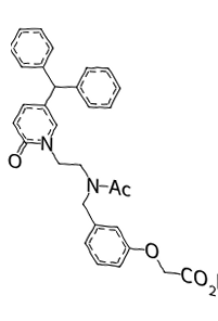 CC(=O)N(CCn1cc(C(c2ccccc2)c2ccccc2)ccc1=O)Cc1cccc(OCC(=O)O)c1